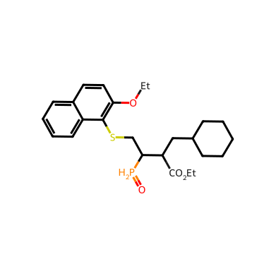 CCOC(=O)C(CC1CCCCC1)C(CSc1c(OCC)ccc2ccccc12)[PH2]=O